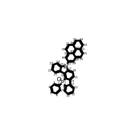 O=P1(c2ccccc2)c2ccccc2-c2ccc3c(c21)c1ccccc1n3-c1cc2ccc3cccc4ccc(c1)c2c34